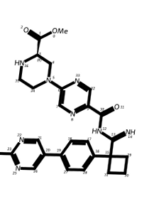 COC(=O)[C@H]1CN(c2cnc(C(=O)NC(=N)C3(c4ccc(-c5cnc(N)nc5)cc4)CCC3)cn2)CCN1